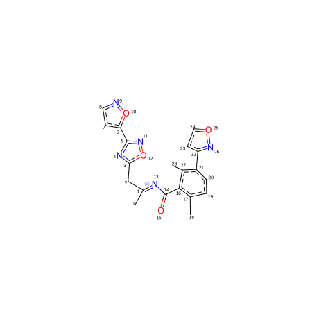 C/C(Cc1nc(-c2ccno2)no1)=N\C(=O)c1c(C)ccc(-c2ccon2)c1C